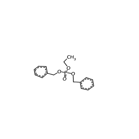 CCOP(=O)(OCc1ccccc1)OCc1ccccc1